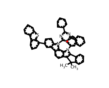 CC1(C)c2ccccc2-c2c1c1ccc3c4cc(-c5cccc6c5sc5ccccc56)ccc4n(-c4nc(-c5ccccc5)nc(-c5ccccc5)n4)c3c1n2-c1ccccc1